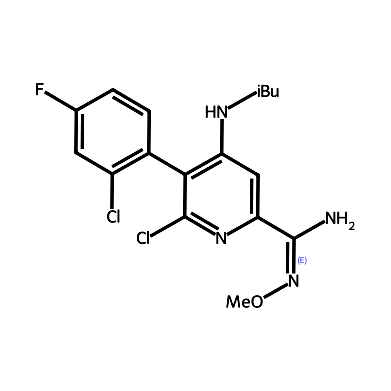 CCC(C)Nc1cc(/C(N)=N\OC)nc(Cl)c1-c1ccc(F)cc1Cl